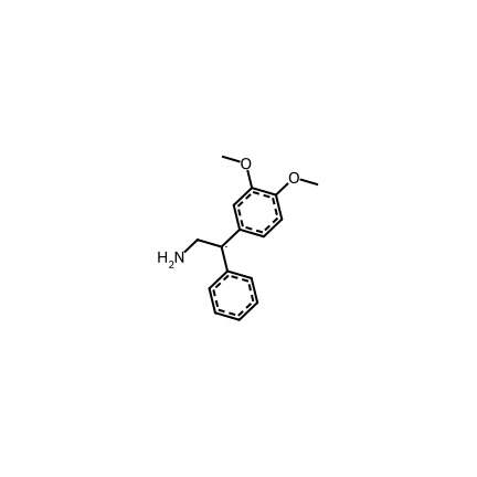 COc1ccc([C](CN)c2ccccc2)cc1OC